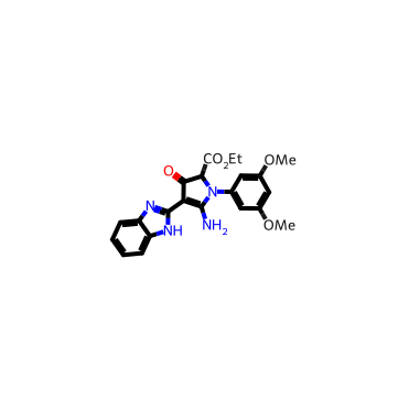 CCOC(=O)C1C(=O)C(c2nc3ccccc3[nH]2)=C(N)N1c1cc(OC)cc(OC)c1